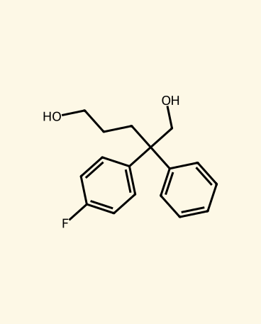 OCCCC(CO)(c1ccccc1)c1ccc(F)cc1